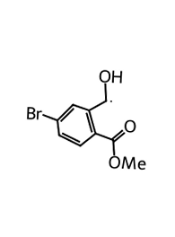 COC(=O)c1ccc(Br)cc1[CH]O